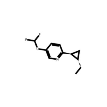 CC[C@H]1C[C@@H]1c1ccc(OC(F)F)cn1